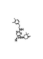 Cc1ccc(CCNc2ncc(C#N)c(N[C@@H]3CC[C@H](C)C(C)(C)C3)n2)cc1C